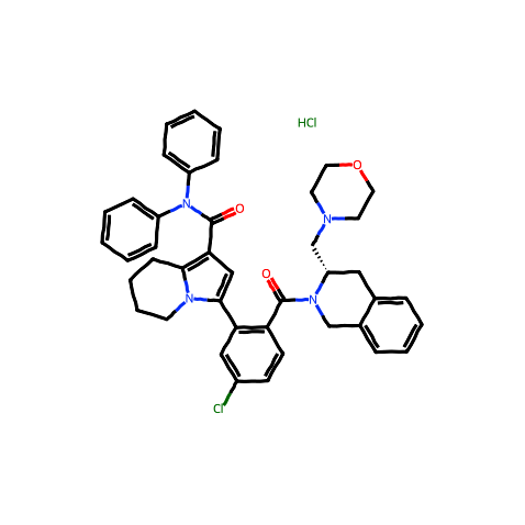 Cl.O=C(c1cc(-c2cc(Cl)ccc2C(=O)N2Cc3ccccc3C[C@H]2CN2CCOCC2)n2c1CCCC2)N(c1ccccc1)c1ccccc1